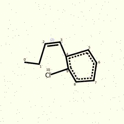 CC/C=[C]\c1ccccc1Cl